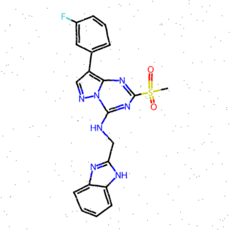 CS(=O)(=O)c1nc(NCc2nc3ccccc3[nH]2)n2ncc(-c3cccc(F)c3)c2n1